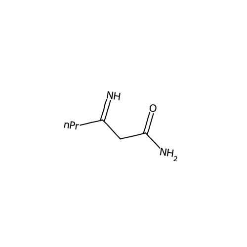 CCCC(=N)CC(N)=O